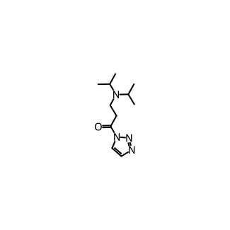 CC(C)N(CCC(=O)n1ccnn1)C(C)C